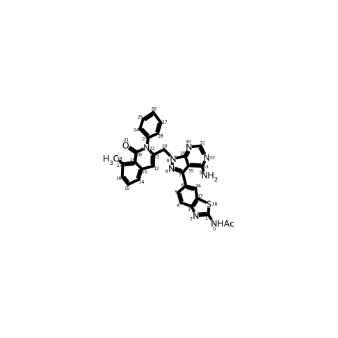 CC(=O)Nc1nc2ccc(-c3nn(Cc4cc5cccc(C)c5c(=O)n4-c4ccccc4)c4ncnc(N)c34)cc2s1